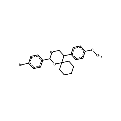 COc1ccc(C2CNC(c3ccc(Br)cc3)OC23CCCCC3)cc1